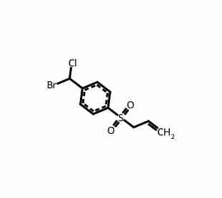 C=CCS(=O)(=O)c1ccc(C(Cl)Br)cc1